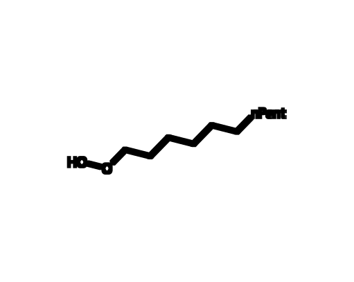 CCCCCCCCCCCOO